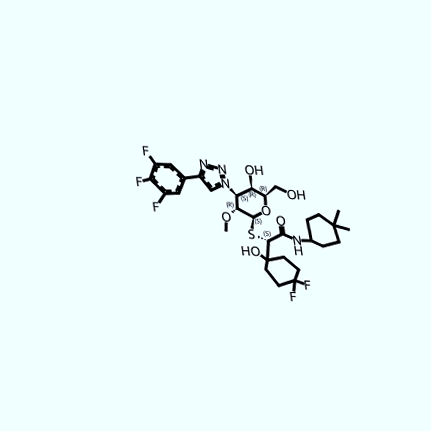 CO[C@@H]1[C@@H](n2cc(-c3cc(F)c(F)c(F)c3)nn2)[C@@H](O)[C@@H](CO)O[C@H]1S[C@H](C(=O)NC1CCC(C)(C)CC1)C1(O)CCC(F)(F)CC1